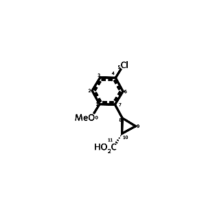 COc1ccc(Cl)cc1C1C[C@@H]1C(=O)O